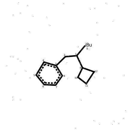 CCC(C)C(Cc1ccccc1)C1CCC1